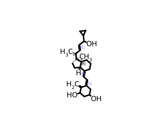 C=C1/C(=C\C=C2/CCC[C@]3(C)[C@@H]([C@H](C)/C=C/C(O)C4CC4)CC[C@@H]23)CC(O)CC1O